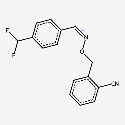 N#Cc1ccccc1CO/N=[C]\c1ccc(C(F)F)cc1